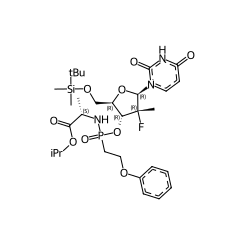 CC(C)OC(=O)[C@H](C)NP(=O)(CCOc1ccccc1)O[C@@H]1[C@@H](CO[Si](C)(C)C(C)(C)C)O[C@@H](n2ccc(=O)[nH]c2=O)[C@]1(C)F